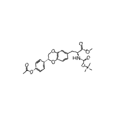 COC(=O)C(Cc1ccc2c(c1)OCC(c1ccc(OC(C)=O)cc1)O2)NC(=O)OC(C)(C)C